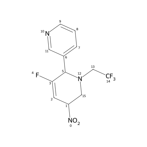 O=[N+]([O-])C1C=C(F)C(c2cccnc2)N(CC(F)(F)F)C1